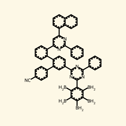 Bc1c(B)c(B)c(-c2nc(-c3ccccc3)nc(-c3ccc(-c4ccccc4-c4cc(-c5cccc6ccccc56)nc(-c5ccccc5)n4)c(-c4ccc(C#N)cc4)c3)n2)c(B)c1B